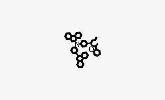 C=C/C=C(/c1ccc(N(c2cccc(-c3cc4ccccc4c4ccccc34)c2)c2cc3ccccc3c3ccccc23)cc1)c1oc2ccccc2c1C